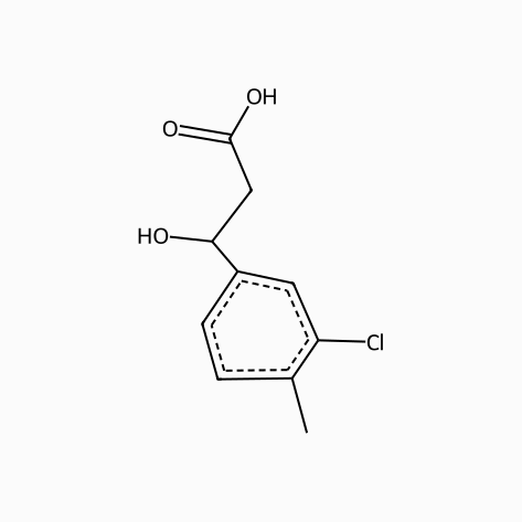 Cc1ccc(C(O)CC(=O)O)cc1Cl